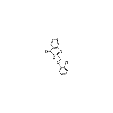 O=c1[nH]c(COc2ccccc2Cl)nc2cnccc12